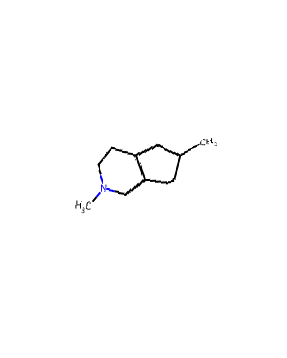 CC1CC2CCN(C)CC2C1